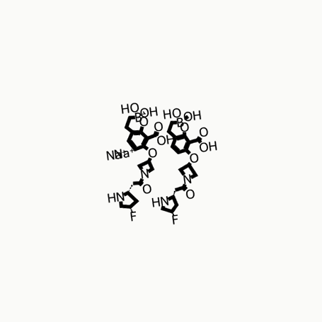 O=C(O)c1c(OC2CN(C(=O)C[C@@H]3C[C@H](F)CN3)C2)ccc2c1O[B-](O)(O)CC2.O=C(O)c1c(OC2CN(C(=O)C[C@@H]3C[C@H](F)CN3)C2)ccc2c1O[B-](O)(O)CC2.[Na+].[Na+]